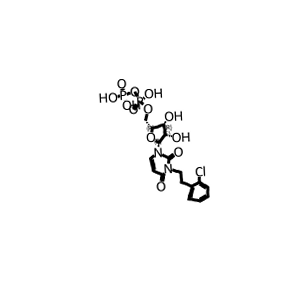 O=c1ccn([C@@H]2O[C@H](COP(=O)(O)OP(=O)(O)O)[C@H](O)[C@@H]2O)c(=O)n1CCc1ccccc1Cl